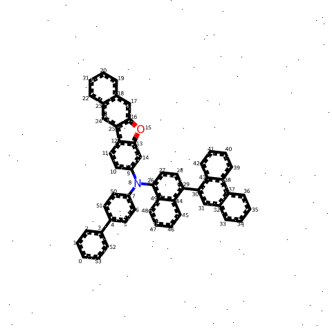 c1ccc(-c2ccc(N(c3ccc4c(c3)oc3cc5ccccc5cc34)c3ccc(-c4cc5ccccc5c5ccccc45)c4ccccc34)cc2)cc1